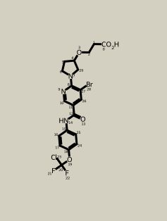 O=C(O)CCOC1CCN(c2ncc(C(=O)Nc3ccc(OC(F)(F)Cl)cc3)cc2Br)C1